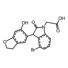 O=C(O)CN1C(=O)C(c2cc3c(cc2O)OCC3)c2c(Br)cccc21